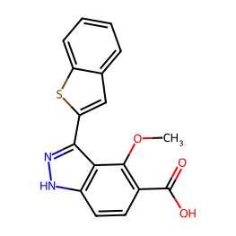 COc1c(C(=O)O)ccc2[nH]nc(-c3cc4ccccc4s3)c12